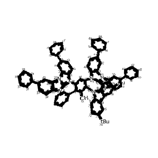 Cc1c(-c2ccccc2)c(-n2c3ccc(-c4ccccc4)cc3n3c4cc(-c5ccccc5)ccc4nc23)cc(-n2c3ccc(-c4ccccc4)cc3n3c4cc(-c5ccccc5)ccc4nc23)c1-n1c2ccc(C(C)(C)C)cc2c2cc(C(C)(C)C)ccc21